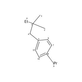 CCC(C)(C)Cc1ccc(C(C)C)cc1